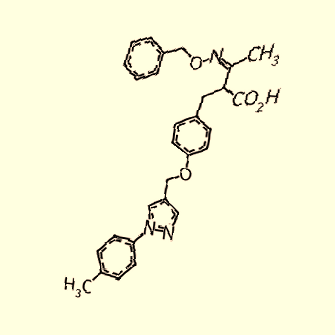 CC(=NOCc1ccccc1)C(Cc1ccc(OCc2cnn(-c3ccc(C)cc3)c2)cc1)C(=O)O